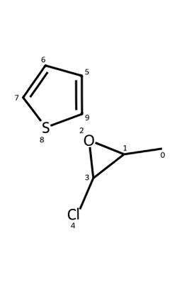 CC1OC1Cl.c1ccsc1